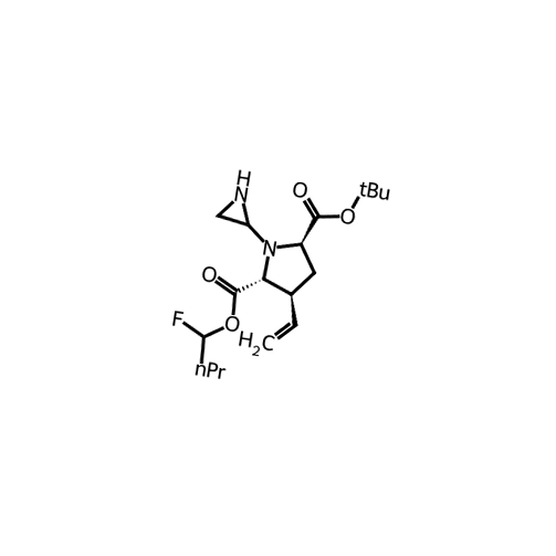 C=C[C@@H]1C[C@H](C(=O)OC(C)(C)C)N(C2CN2)[C@H]1C(=O)OC(F)CCC